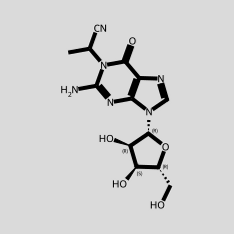 CC(C#N)n1c(N)nc2c(ncn2[C@@H]2O[C@H](CO)[C@@H](O)[C@H]2O)c1=O